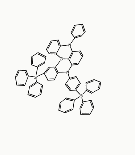 c1ccc(N2c3ccccc3B3c4cc([Si](c5ccccc5)(c5ccccc5)c5ccccc5)ccc4N(c4ccc([Si](c5ccccc5)(c5ccccc5)c5ccccc5)cc4)c4cccc2c43)cc1